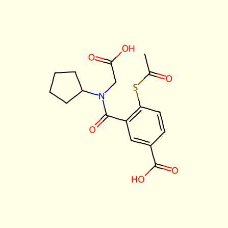 CC(=O)Sc1ccc(C(=O)O)cc1C(=O)N(CC(=O)O)C1CCCC1